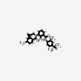 O=C(Nc1ccc(C(F)(C(F)(F)F)C(F)(F)F)cc1C(F)(F)F)c1cccc(N(CC2CC2)C(=O)c2ccc(C(F)(F)F)cc2)c1F